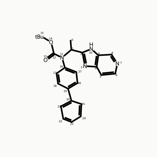 CC(c1nc2ccncc2[nH]1)N(C(=O)OC(C)(C)C)c1ccc(-c2ccccc2)cc1